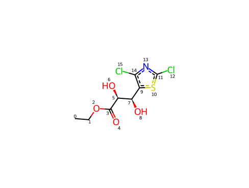 CCOC(=O)[C@@H](O)[C@H](O)c1sc(Cl)nc1Cl